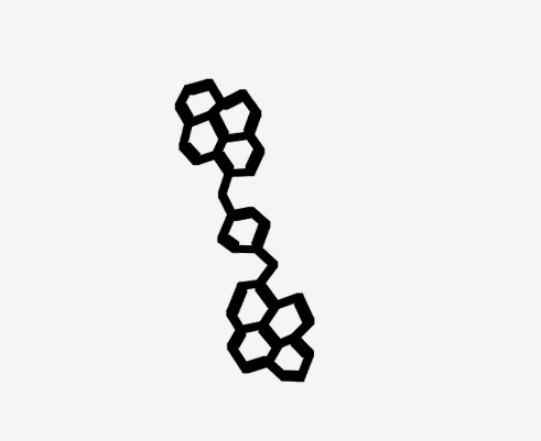 c1cc2ccc3ccc(Cc4ccc(Cc5ccc6ccc7cccc8ccc5c6c78)cc4)c4ccc(c1)c2c34